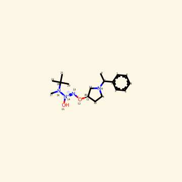 CC(c1ccccc1)N1CC[C@@H](O/N=[N+](\O)N(C)C(C)(C)C)C1